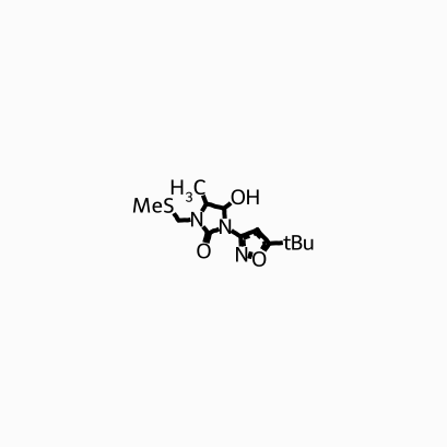 CSCN1C(=O)N(c2cc(C(C)(C)C)on2)C(O)C1C